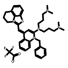 CN(C)CCCN(CCCN(C)C)C1=C/C(=C\c2sc3cccc4c3[n+]2CCC4)c2ccccc2N1Cc1ccccc1.O=C([O-])C(F)(F)F